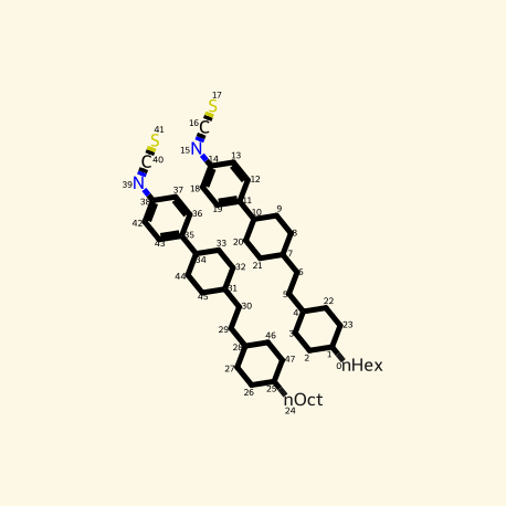 CCCCCCC1CCC(CCC2CCC(c3ccc(N=C=S)cc3)CC2)CC1.CCCCCCCCC1CCC(CCC2CCC(c3ccc(N=C=S)cc3)CC2)CC1